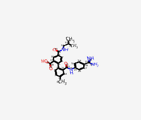 Cc1ccc(-c2ccc(C(=O)NCC(C)C)cc2C(=O)O)c(C(=O)Nc2ccc(C(=N)N)cc2)c1